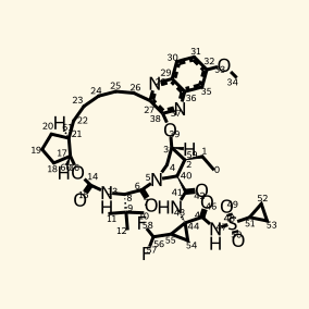 CC[C@@H]1[C@@H]2CN(C(=O)[C@H](C(C)(C)C)NC(=O)O[C@@H]3CCC[C@H]3CCCCCc3nc4ccc(OC)cc4nc3O2)[C@@H]1C(=O)N[C@]1(C(=O)NS(=O)(=O)C2CC2)CC1C(F)F